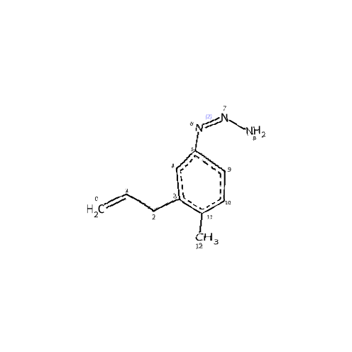 C=CCc1cc(/N=N\N)ccc1C